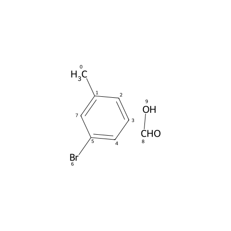 Cc1cccc(Br)c1.O=CO